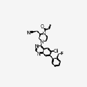 C=CC(=O)N1CCN(c2ncnc3cc(-c4ccccc4CF)c(Cl)cc23)CC1CC#N